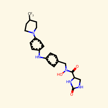 O=C1NCC(C(=O)N(O)Cc2ccc(Nc3ccc(N4CCC(C(F)(F)F)CC4)cc3)cc2)N1